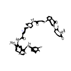 COc1cc2ncnc(Nc3ccc(F)c(Cl)c3)c2cc1NC(=O)/C=C/CN1CCC(NC(=O)CSc2cccc3c2CN(C2CCC(=O)NC2=O)C3=O)CC1